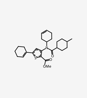 COC(=O)c1sc(C2=CCCCC2)cc1N(C(=O)C1CCC(C)CC1)C1CC=CCC1